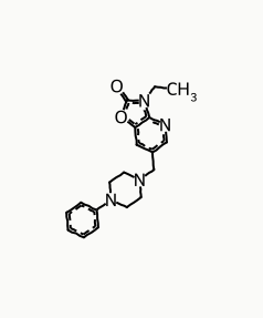 CCn1c(=O)oc2cc(CN3CCN(c4ccccc4)CC3)cnc21